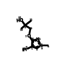 CC(C)c1cn(C)nc1OCC(C)(C)O